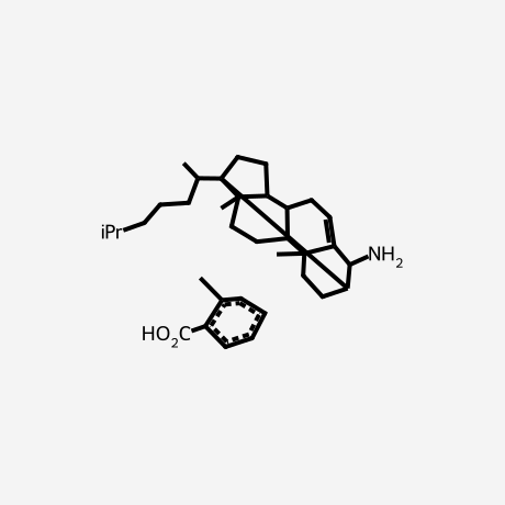 CC(C)CCCC(C)C12CCC3C4CC=C5C(N)C1CCC5(C)C4CCC32C.Cc1ccccc1C(=O)O